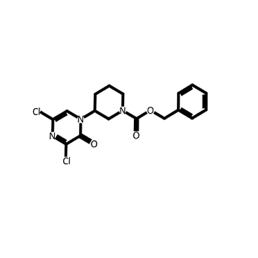 O=C(OCc1ccccc1)N1CCCC(n2cc(Cl)nc(Cl)c2=O)C1